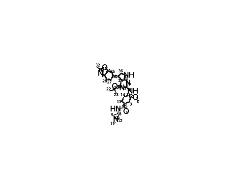 COc1cc(C(=O)NC2CN(C)C2)ccc1Nc1nc(OC(C)C)c2c(-c3ccc4nc(C)oc4c3)c[nH]c2n1